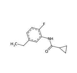 CCc1ccc(F)c(NC(=O)C2CC2)c1